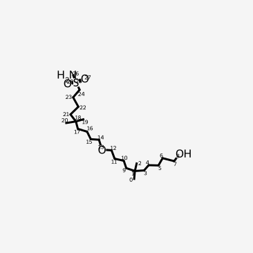 CC(C)(CCCCCO)CCCCOCCCCC(C)(C)CCCCS(N)(=O)=O